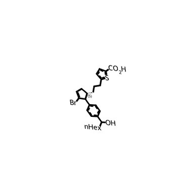 CCCCCCC(O)c1ccc(C2C(Br)=CC[C@@H]2CCCc2ccc(C(=O)O)s2)cc1